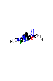 C=CC(=O)Nc1ccc(F)c(-c2cccc3cnc(Nc4ccc(N5CCN(C)CC5)c(F)c4F)nc23)c1